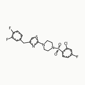 O=S(=O)(c1ccc(F)cc1Cl)N1CCN(c2nc(Cc3ccc(F)c(F)c3)cs2)CC1